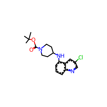 CC(C)(C)OC(=O)N1CCC(Nc2cccc3ncc(Cl)cc23)CC1